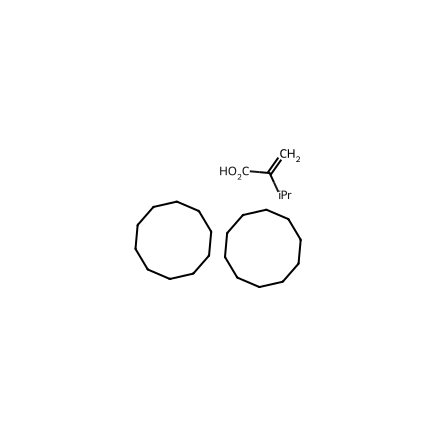 C1CCCCCCCCC1.C1CCCCCCCCC1.C=C(C(=O)O)C(C)C